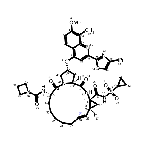 COc1ccc2c(O[C@@H]3C[C@H]4C(=O)N[C@]5(C(=O)NS(=O)(=O)C6CC6)C[C@H]5/C=C/CCCCC[C@H](NC(=O)N5CCC5)C(=O)N4C3)cc(-c3nc(C(C)C)cs3)nc2c1C